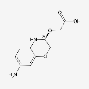 NC1=CCC2N[C@@H](OCC(=O)O)COC2=C1